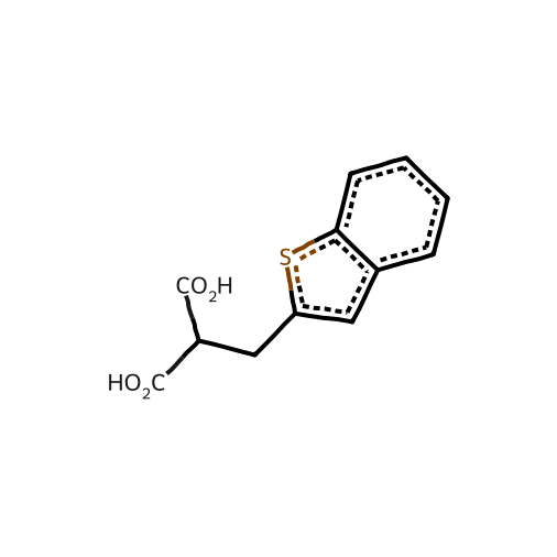 O=C(O)C(Cc1cc2ccccc2s1)C(=O)O